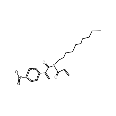 C=CC(=O)N(CCCCCCCCCC)C(=O)C(=C)c1ccc([N+](=O)[O-])cc1